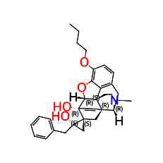 CCCCOc1ccc2c3c1O[C@@H]1[C@]34CCN(C)[C@H](C2)[C@]42C=C[C@@]1(O)[C@]1(C[C@@]1(O)Cc1ccccc1)C2